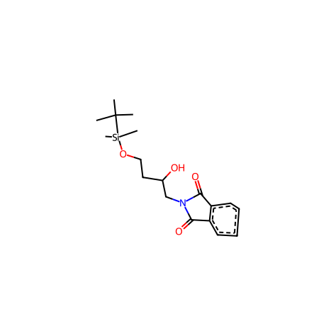 CC(C)(C)[Si](C)(C)OCCC(O)CN1C(=O)c2ccccc2C1=O